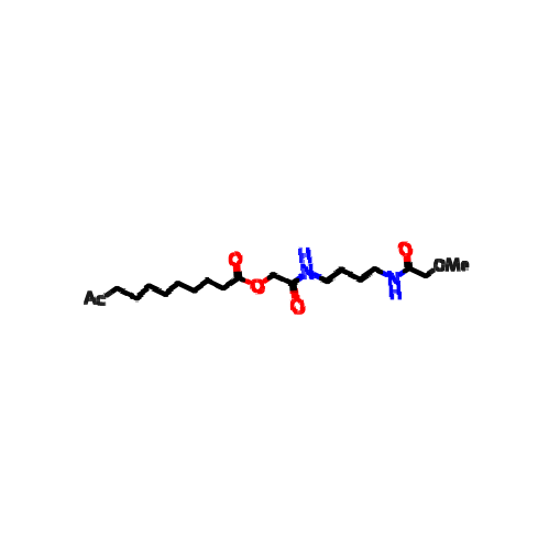 COCC(=O)NCCCCNC(=O)COC(=O)CCCCCCCCC(C)=O